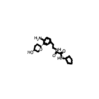 Nc1ccc(CCNC(=O)C(=O)NC2CCCC2)cc1[C@H]1CC[C@H](O)CO1